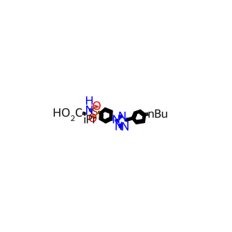 CCCCc1ccc(-c2nnn(-c3ccc(S(=O)(=O)NC(C(=O)O)C(C)C)cc3)n2)cc1